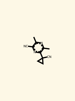 Cc1nc(C)c(C2(C#N)CC2)nc1C#N